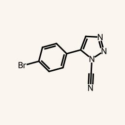 N#Cn1nncc1-c1ccc(Br)cc1